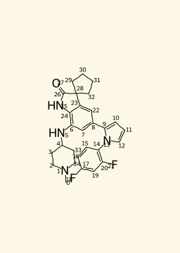 CN1CCC(Nc2cc(-c3cccn3-c3ccc(F)cc3F)cc3c2NC(=O)C32CCCC2)CC1